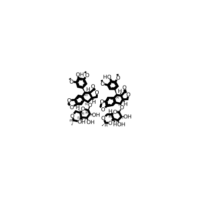 COc1cc([C@@H]2c3cc4c(cc3[C@@H](O[C@@H]3O[C@@H]5CO[C@@H](C)O[C@H]5[C@H](O)[C@H]3O)[C@H]3COC(=O)[C@H]23)OCO4)cc(OC)c1O.COc1cc([C@@H]2c3cc4c(cc3[C@@H](O[C@@H]3O[C@@H]5CO[C@@H](C)O[C@H]5[C@H](O)[C@H]3O)[C@H]3COC(=O)[C@H]23)OCO4)cc(OC)c1O